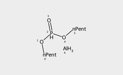 CCCCCO[PH](=O)OCCCCC.[AlH3]